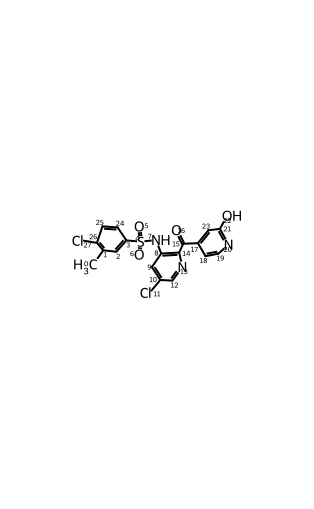 Cc1cc(S(=O)(=O)Nc2cc(Cl)cnc2C(=O)c2ccnc(O)c2)ccc1Cl